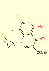 CCOC(=O)c1cn([C@@H]2C[C@H]2F)c2c(C)c(F)cc(O)c2c1=O